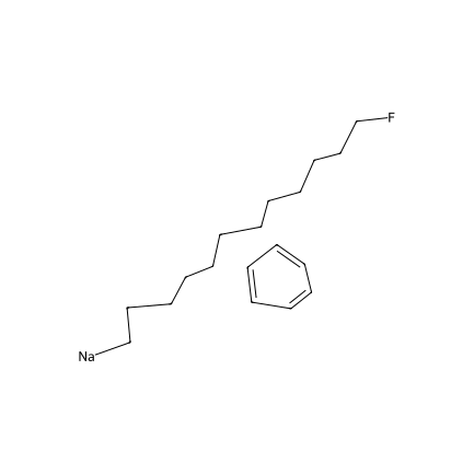 FCCCCCCCCCCC[CH2][Na].c1ccccc1